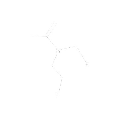 C=C(C)N(CF)CCF